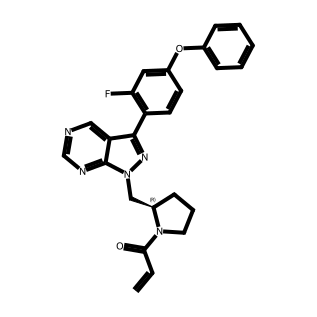 C=CC(=O)N1CCC[C@@H]1Cn1nc(-c2ccc(Oc3ccccc3)cc2F)c2cncnc21